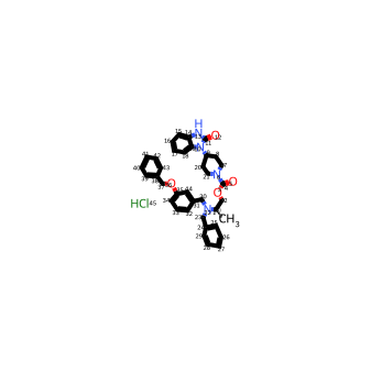 C[C@@H](COC(=O)N1CCC(n2c(=O)[nH]c3ccccc32)CC1)N(Cc1ccccc1)Cc1cccc(OCc2ccccc2)c1.Cl